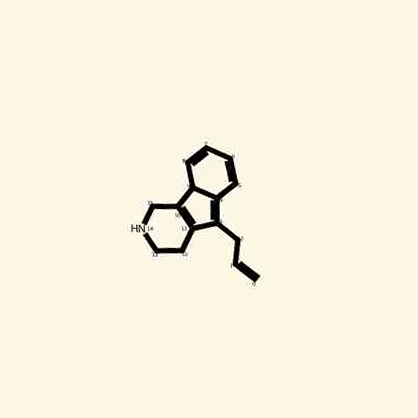 C=CCC1=C2C=CC=CC2C2=C1CCNC2